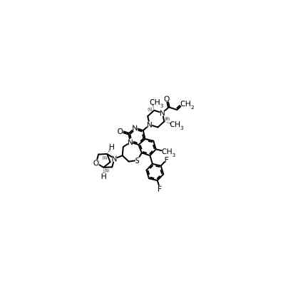 C=CC(=O)N1[C@H](C)CN(c2nc(=O)n3c4c(c(-c5ccc(F)cc5F)c(C)cc24)SCC(N2C[C@@H]4C[C@H]2CO4)C3)C[C@@H]1C